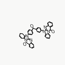 O=C(c1ccc(-n2c3c(n4c(=O)c5ccccc5nc24)C=CCC3)cc1)c1ccc(-n2c3ccccc3n3c(=O)c4ccccc4nc23)cc1